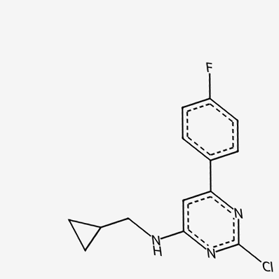 Fc1ccc(-c2cc(NCC3CC3)nc(Cl)n2)cc1